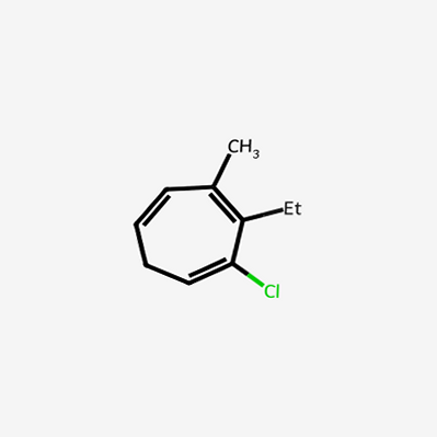 CCC1=C(C)C=CCC=C1Cl